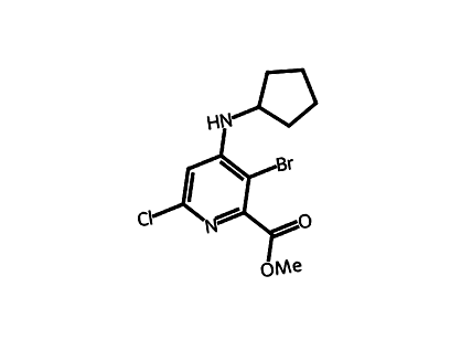 COC(=O)c1nc(Cl)cc(NC2CCCC2)c1Br